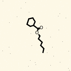 CCCCCCOC(=O)C1CCCCC1